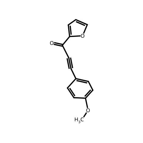 COc1ccc(C#CC(=O)c2ccco2)cc1